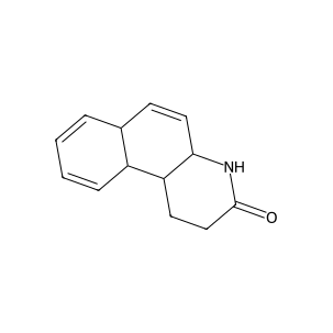 O=C1CCC2C(C=CC3C=CC=CC32)N1